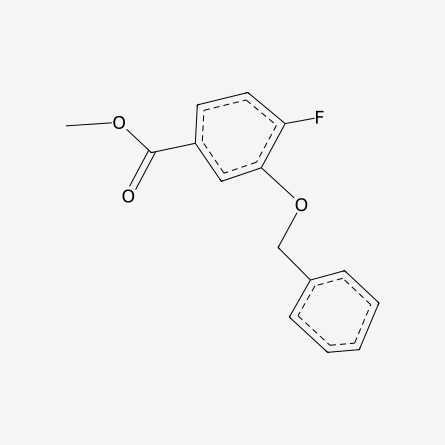 COC(=O)c1ccc(F)c(OCc2ccccc2)c1